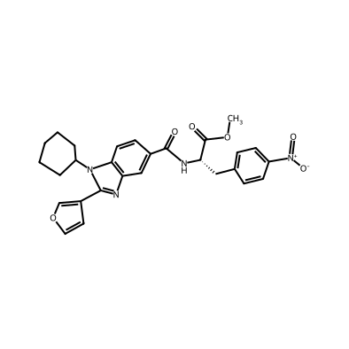 COC(=O)[C@H](Cc1ccc([N+](=O)[O-])cc1)NC(=O)c1ccc2c(c1)nc(-c1ccoc1)n2C1CCCCC1